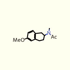 COc1ccc2c(c1)CCC(N(C)C(C)=O)C2